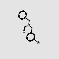 O=CN(Cc1ccccc1)Cc1cccc(Br)c1